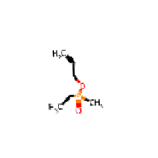 C=CCOP(C)(=O)CC